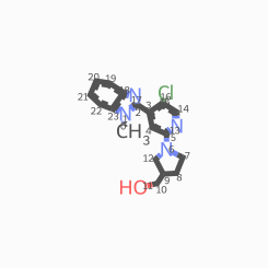 Cn1c(-c2cc(N3CCC(CO)C3)ncc2Cl)nc2ccccc21